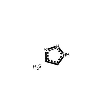 S.c1c[nH]nn1